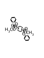 COP(=O)(Oc1ccccc1)N1CCN(P(C)(=O)Oc2ccccc2)CC1